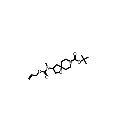 C=CCOC(=O)N(C)C1COC2(CCN(C(=O)OC(C)(C)C)CC2)C1